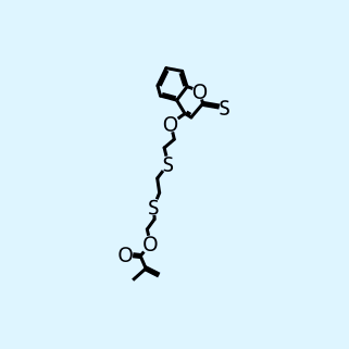 C=C(C)C(=O)OCCSCCSCCOc1cc(=S)oc2ccccc12